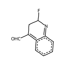 O=CC1=c2ccccc2=NC(F)C1